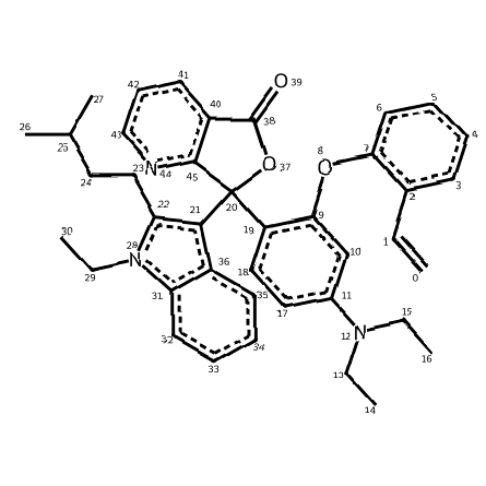 C=Cc1ccccc1Oc1cc(N(CC)CC)ccc1C1(c2c(CCC(C)C)n(CC)c3ccccc23)OC(=O)c2cccnc21